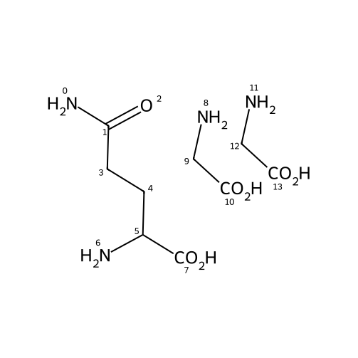 NC(=O)CCC(N)C(=O)O.NCC(=O)O.NCC(=O)O